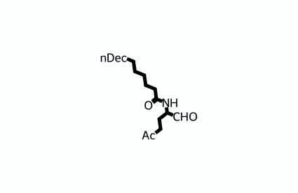 CCCCCCCCCCCCCCCC(=O)NC(C=O)CCC(C)=O